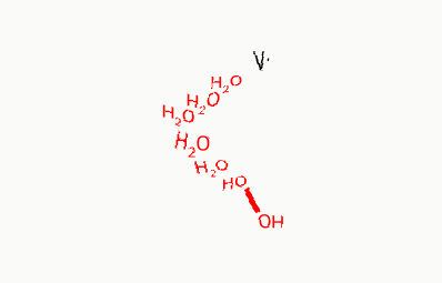 O.O.O.O.O.OO.[V]